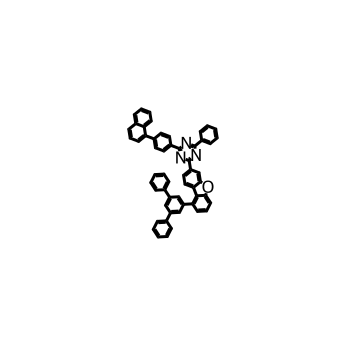 c1ccc(-c2cc(-c3ccccc3)cc(-c3cccc4oc5cc(-c6nc(-c7ccccc7)nc(-c7ccc(-c8cccc9ccccc89)cc7)n6)ccc5c34)c2)cc1